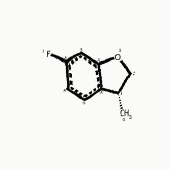 C[C@H]1COc2cc(F)ccc21